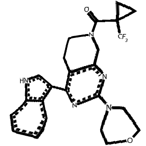 O=C(N1CCc2c(nc(N3CCOCC3)nc2-c2c[nH]c3ccccc23)C1)C1(C(F)(F)F)CC1